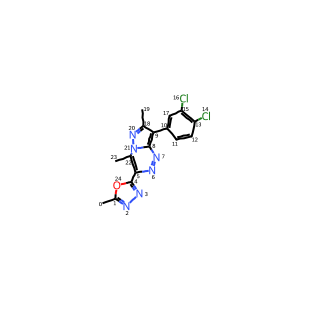 Cc1nnc(-c2nnc3c(-c4ccc(Cl)c(Cl)c4)c(C)nn3c2C)o1